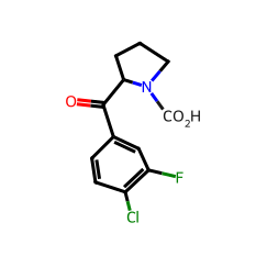 O=C(c1ccc(Cl)c(F)c1)C1CCCN1C(=O)O